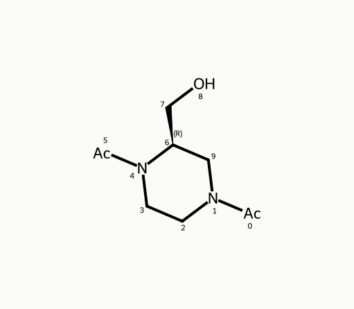 CC(=O)N1CCN(C(C)=O)[C@@H](CO)C1